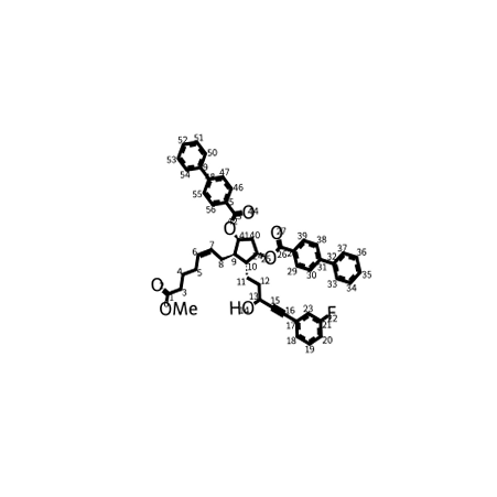 COC(=O)CCC/C=C\C[C@@H]1[C@@H](CCC(O)C#Cc2cccc(F)c2)[C@H](OC(=O)c2ccc(-c3ccccc3)cc2)C[C@@H]1OC(=O)c1ccc(-c2ccccc2)cc1